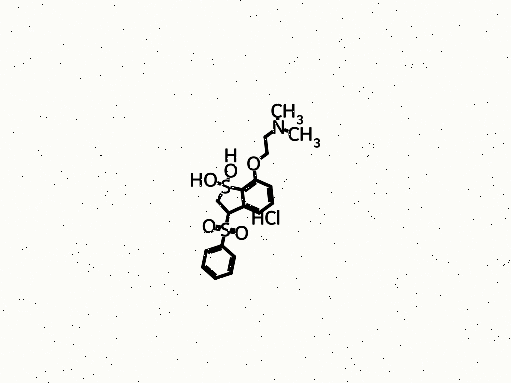 CN(C)CCOc1cccc2c1S(O)(O)CC2S(=O)(=O)c1ccccc1.Cl